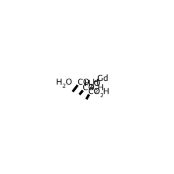 CC(=O)O.CC(=O)O.CC(=O)O.O.O.[Gd]